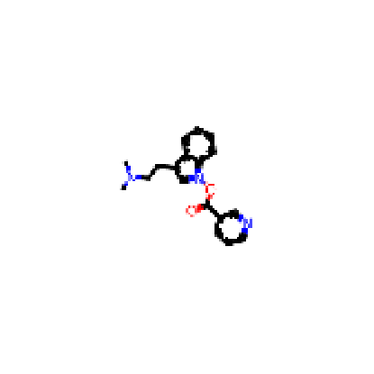 CN(C)CCc1cn(OC(=O)c2cccnc2)c2ccccc12